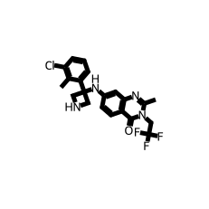 Cc1c(Cl)cccc1C1(Nc2ccc3c(=O)n(CC(F)(F)F)c(C)nc3c2)CNC1